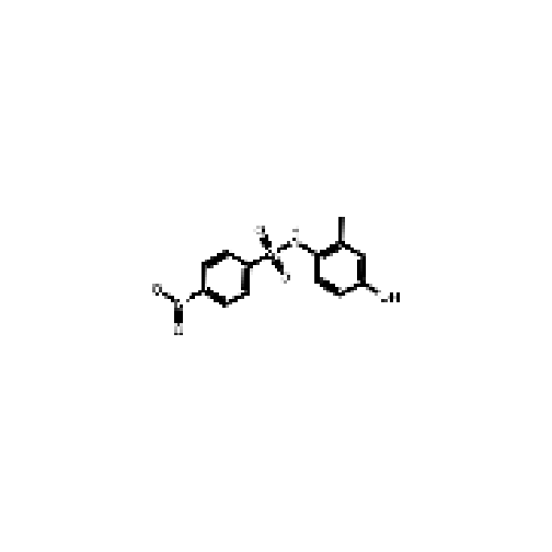 Cc1cc(O)ccc1NS(=O)(=O)c1ccc([N+](=O)[O-])cc1